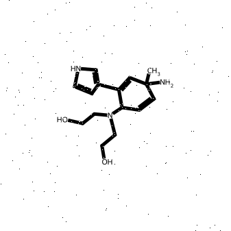 CC1(N)C=CC(N(CCO)CCO)C(c2cc[nH]c2)=C1